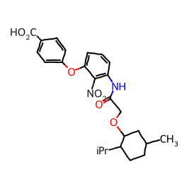 CC1CCC(C(C)C)C(OCC(=O)Nc2cccc(Oc3ccc(C(=O)O)cc3)c2[N+](=O)[O-])C1